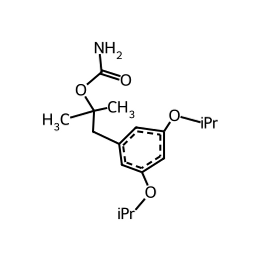 CC(C)Oc1cc(CC(C)(C)OC(N)=O)cc(OC(C)C)c1